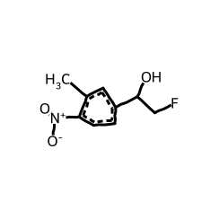 Cc1cc(C(O)CF)ccc1[N+](=O)[O-]